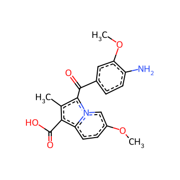 COc1ccc2c(C(=O)O)c(C)c(C(=O)c3ccc(N)c(OC)c3)n2c1